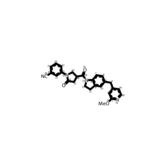 COc1cc(Cc2ccc3c(c2)CCN3C(=O)C2CC(=O)N(c3cccc(C#N)c3)C2)ccn1